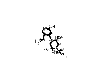 CC1(C)CN(c2cc(O)nnc2CN)CCN1S(C)(=O)=O.Cl